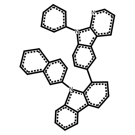 c1ccc(-n2c3ccc(-c4cccc5c6ccccc6n(-c6ccc7ccccc7c6)c45)cc3c3cccnc32)cc1